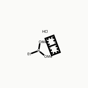 CCN(OC)OC.Cl.c1cc2ccc1-2